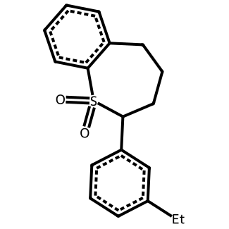 CCc1cccc(C2CCCc3ccccc3S2(=O)=O)c1